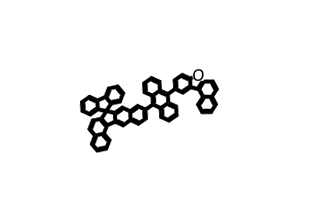 c1ccc2c(c1)-c1ccccc1C21c2cc3cc(-c4c5ccccc5c(-c5ccc6oc7ccc8ccccc8c7c6c5)c5ccccc45)ccc3cc2-c2c1ccc1ccccc21